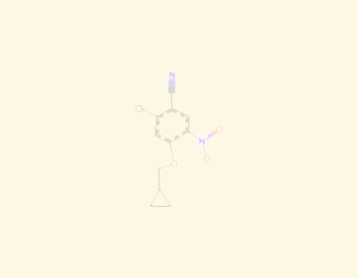 N#Cc1cc([N+](=O)[O-])c(OCC2CC2)cc1Cl